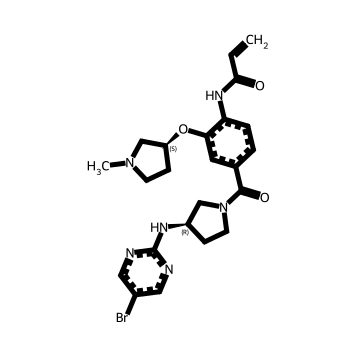 C=CC(=O)Nc1ccc(C(=O)N2CC[C@@H](Nc3ncc(Br)cn3)C2)cc1O[C@H]1CCN(C)C1